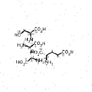 CC(C)[C@H](N)C(=O)O.NCC(=O)O.N[C@@H](CCC(=O)O)C(=O)O.N[C@@H](CO)C(=O)O